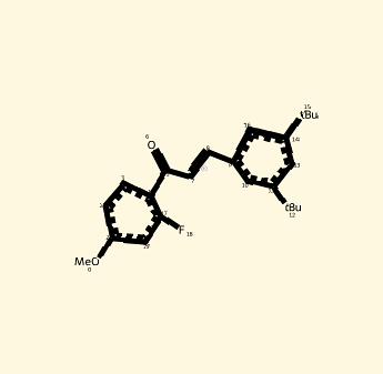 COc1ccc(C(=O)/C=C/c2cc(C(C)(C)C)cc(C(C)(C)C)c2)c(F)c1